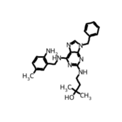 Cc1ccc(N)c(CNc2nc(NCCC(C)(C)O)nc3c2ncn3Cc2ccccc2)c1